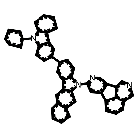 c1ccc(-n2c3ccccc3c3cc(-c4ccc5c(c4)c4cc6ccccc6cc4n5-c4cc5c(cn4)-c4cncc6cccc-5c46)ccc32)cc1